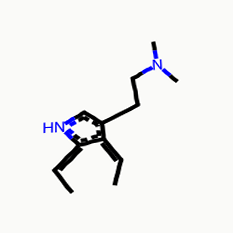 C/C=c1/c(CCN(C)C)c[nH]/c1=C/C